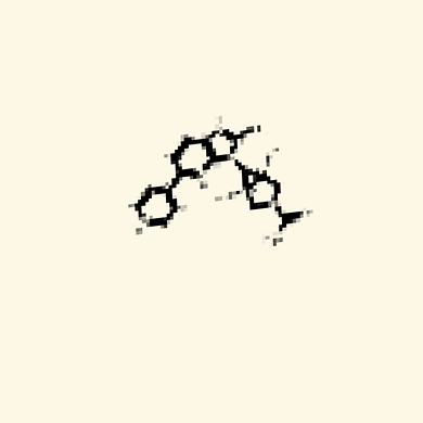 CC(=O)N1C[C@@H]2C(n3c(C)nc4ccc(-c5ccncc5)nc43)[C@@H]2C1